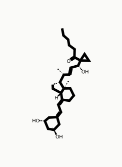 CCCCCC(=O)C1([C@H](O)/C=C/[C@@H](C)[C@H]2CC[C@H]3/C(=C/C=C4C[C@@H](O)C[C@H](O)C4)CCC[C@]23C)CC1